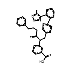 O=C(O)c1cccc(N(Cc2ccc(-c3ccccc3-c3nnn[nH]3)cc2)C(=O)CCCc2ccccc2)c1